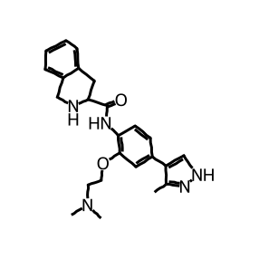 Cc1n[nH]cc1-c1ccc(NC(=O)C2Cc3ccccc3CN2)c(OCCN(C)C)c1